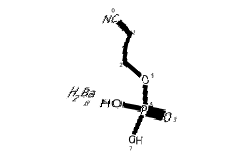 N#CCCOP(=O)(O)O.[BaH2]